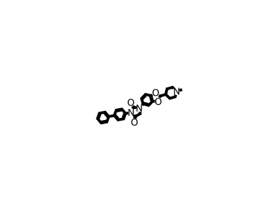 CN1CCC(C2Oc3ccc(N4CC(=O)N(c5ccc(-c6ccccc6)cc5)C4=O)cc3O2)CC1